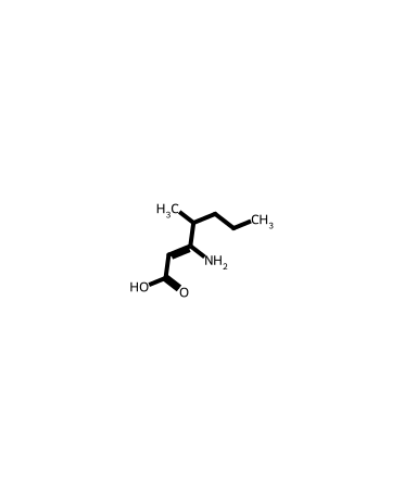 CCCC(C)C(N)=CC(=O)O